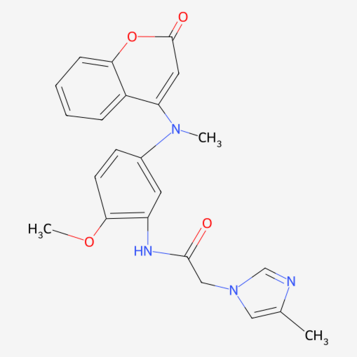 COc1ccc(N(C)c2cc(=O)oc3ccccc23)cc1NC(=O)Cn1cnc(C)c1